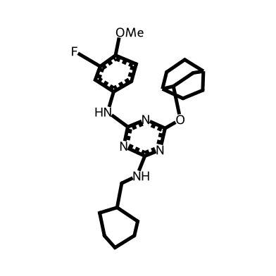 COc1ccc(Nc2nc(NCC3CCCCC3)nc(OC3CC4CCC3CC4)n2)cc1F